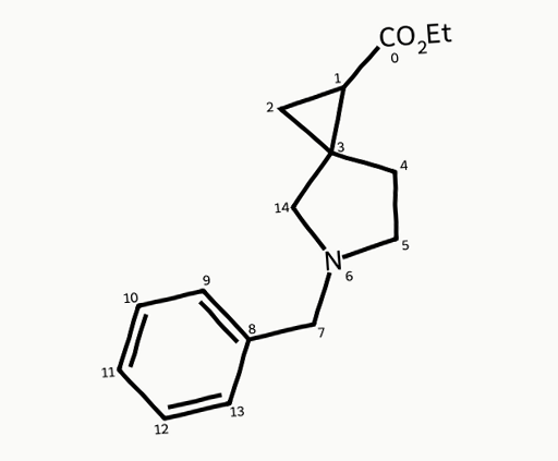 CCOC(=O)C1CC12CCN(Cc1ccccc1)C2